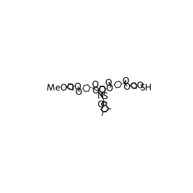 COc1ccc(OC(=O)[C@H]2CC[C@H](C(=O)Oc3ccc(OC(=O)[C@H]4CC[C@H](C(=O)Oc5ccc(OS)cc5)CC4)c4sc(-c5cc6c(C)cc(C)cc6o5)nc34)CC2)cc1